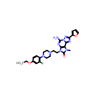 Cn1c(=O)n(CCN2CCN(c3ccc(OCC(=O)O)cc3F)CC2)c2nc(N)n3nc(-c4ccco4)nc3c21